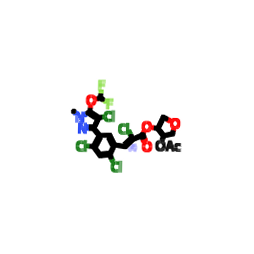 CC(=O)OC1COCC1OC(=O)/C(Cl)=C/c1cc(-c2nn(C)c(OC(F)F)c2Cl)c(Cl)cc1Cl